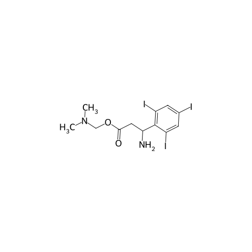 CN(C)COC(=O)CC(N)c1c(I)cc(I)cc1I